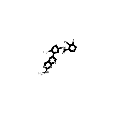 CNc1ncc2cc(-c3cc(NC(=O)c4cccc(F)c4Cl)ccc3C)cnc2n1